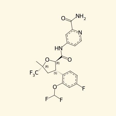 C[C@]1(C(F)(F)F)C[C@@H](c2ccc(F)cc2OC(F)F)[C@H](C(=O)Nc2ccnc(C(N)=O)c2)O1